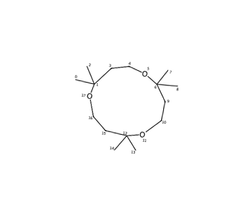 CC1(C)CCOC(C)(C)CCOC(C)(C)CCO1